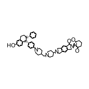 O=C1c2cc3c(cc2CN1N1C(=O)CCCC1=O)CN(C1CCN(CC2CCN(c4ccc([C@@H]5c6ccc(O)cc6CC[C@@H]5c5ccccc5)cc4)CC2)CC1)C3